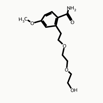 COc1ccc(C(N)=O)c(CCOCCOCCO)c1